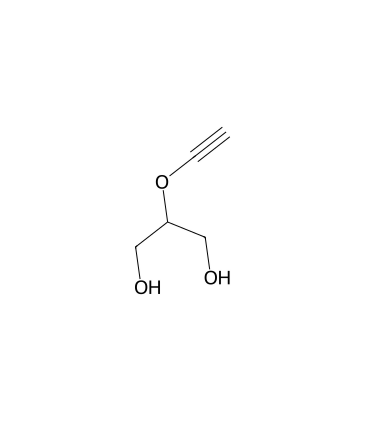 C#COC(CO)CO